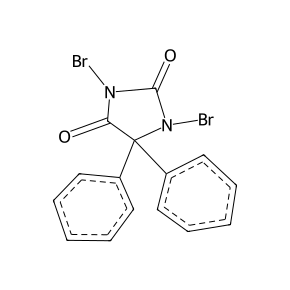 O=C1N(Br)C(=O)C(c2ccccc2)(c2ccccc2)N1Br